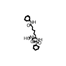 O=C(CCCCC[C@H](NS(=O)(=O)c1ccccc1)C(=O)NO)Nc1ccccc1